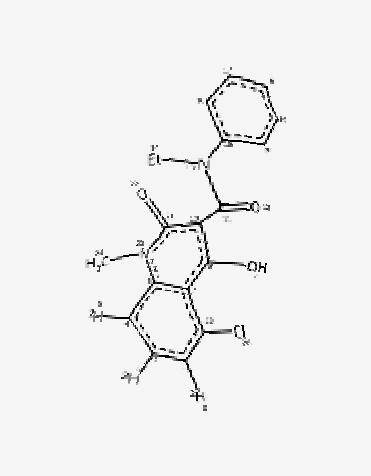 [2H]c1c([2H])c([2H])c2c(c(O)c(C(=O)N(CC)c3ccccc3)c(=O)n2C)c1Cl